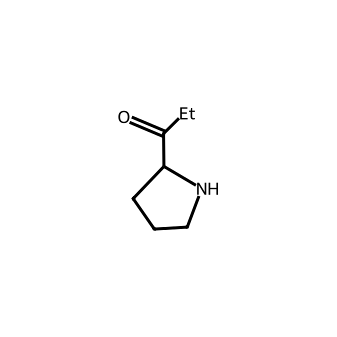 [CH2]CC(=O)C1CCCN1